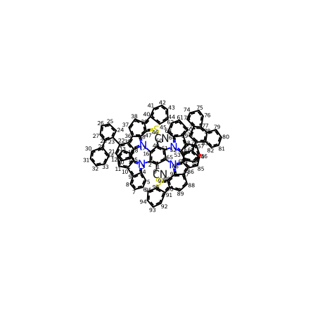 N#Cc1c(-n2c3ccccc3c3ccccc32)c(-n2c3cccc(-c4ccccc4-c4ccccc4)c3c3ccc4c5ccccc5sc4c32)c(C#N)c(-n2c3ccccc3c3ccccc32)c1-n1c2cc(-c3cc4ccccc4c4ccccc34)ccc2c2ccc3c4ccccc4sc3c21